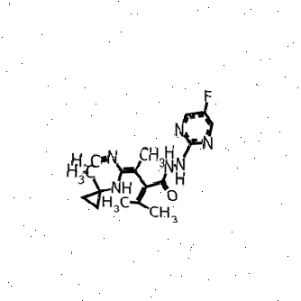 C=N/C(NC1(C)CC1)=C(\C)C(C(=O)NNc1ncc(F)cn1)=C(C)C